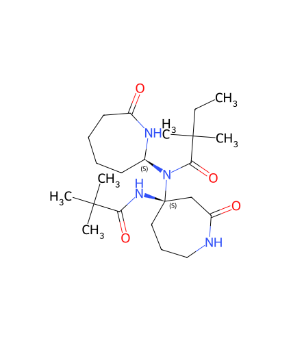 CCC(C)(C)C(=O)N([C@H]1CCCCC(=O)N1)[C@@]1(NC(=O)C(C)(C)C)CCCNC(=O)C1